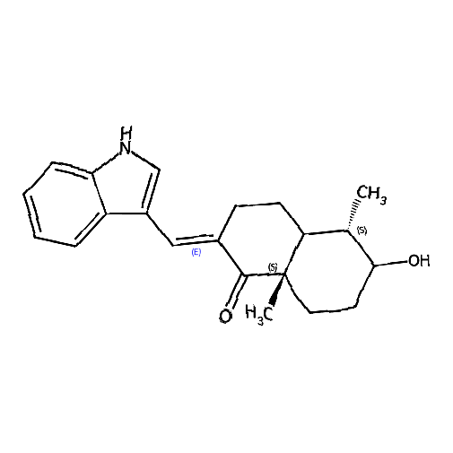 C[C@@H]1C(O)CC[C@]2(C)C(=O)/C(=C/c3c[nH]c4ccccc34)CCC12